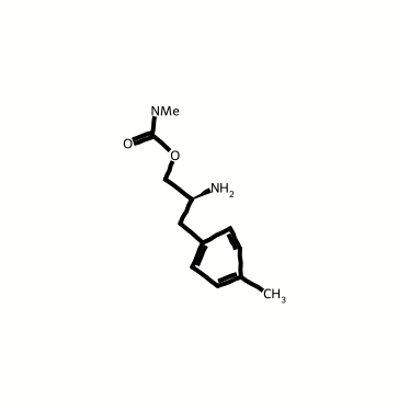 CNC(=O)OC[C@@H](N)Cc1ccc(C)cc1